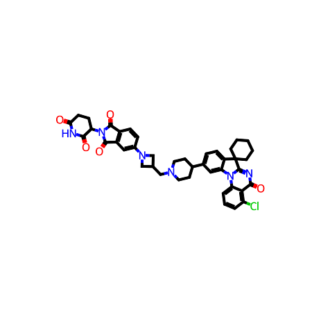 O=C1CCC(N2C(=O)c3ccc(N4CC(CN5CCC(c6ccc7c(c6)-n6c(nc(=O)c8c(Cl)cccc86)C76CCCCC6)CC5)C4)cc3C2=O)C(=O)N1